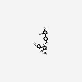 COc1ccc(-n2c(OC(=O)c3ccc(-c4ccc(O)cc4O)cc3)nnc2C(N)=O)cc1